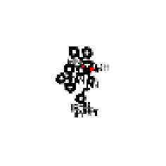 CC(C)[Si](Oc1cccc(CCn2cc(/C(=C\CO)c3cc(NC(c4ccccc4)(c4ccccc4)c4ccccc4)nc4c3nnn4C(c3ccccc3)(c3ccccc3)c3ccccc3)cn2)c1)(C(C)C)C(C)C